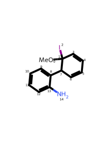 COC1(I)C=CC=CC1c1ccccc1N